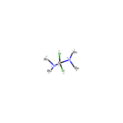 CCC(C)N(C(C)CC)[Si](Br)(Br)N(C(C)CC)C(C)CC